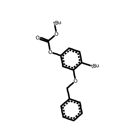 CC(C)(C)OC(=O)Oc1ccc(C(C)(C)C)c(OCc2ccccc2)c1